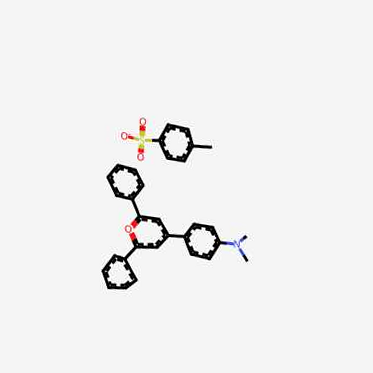 CN(C)c1ccc(-c2cc(-c3ccccc3)[o+]c(-c3ccccc3)c2)cc1.Cc1ccc(S(=O)(=O)[O-])cc1